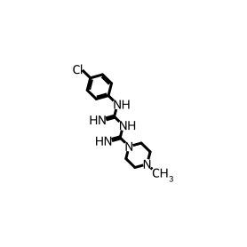 CN1CCN(C(=N)NC(=N)Nc2ccc(Cl)cc2)CC1